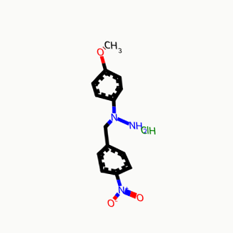 COc1ccc(N(N)Cc2ccc([N+](=O)[O-])cc2)cc1.Cl